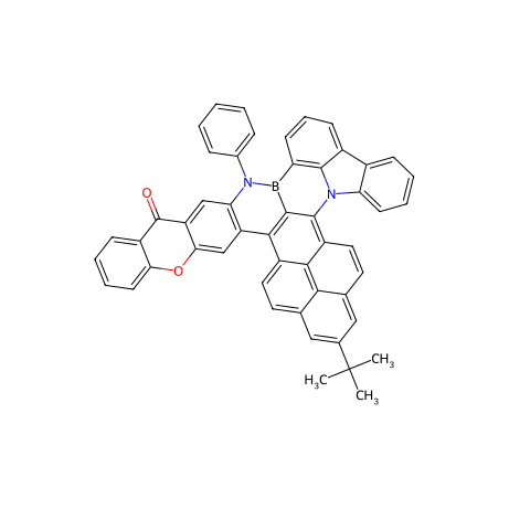 CC(C)(C)c1cc2ccc3c4c5c(c6ccc(c1)c2c36)-n1c2ccccc2c2cccc(c21)B5N(c1ccccc1)c1cc2c(=O)c3ccccc3oc2cc1-4